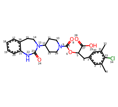 Cc1cc(CC(OC(=O)N2CCC(N3CCc4ccccc4NC3=O)CC2)C(=O)O)cc(C)c1Cl